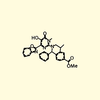 COC(=O)c1ccc2c(c1)C(C)CN(c1nc(-c3nc4ccccc4o3)c(O)c(=O)n1C)C2c1ccccc1